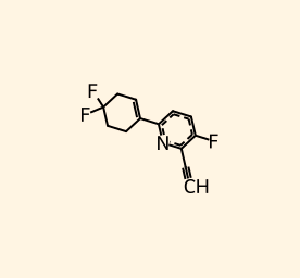 C#Cc1nc(C2=CCC(F)(F)CC2)ccc1F